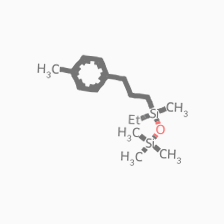 CC[Si](C)(CCCc1ccc(C)cc1)O[Si](C)(C)C